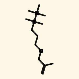 C=C(C)COCCC[Si](C)(C)[Si](C)(C)C